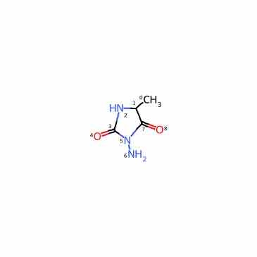 CC1NC(=O)N(N)C1=O